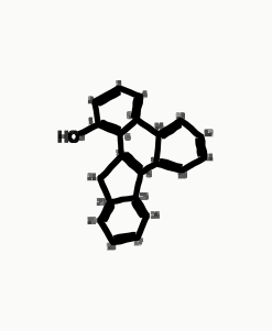 Oc1cccc2c1c1c(c3ccccc32)-c2ccccc2C1